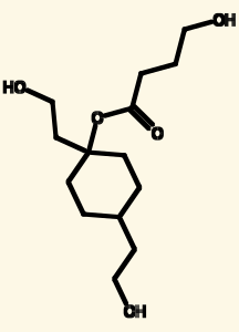 O=C(CCCO)OC1(CCO)CCC(CCO)CC1